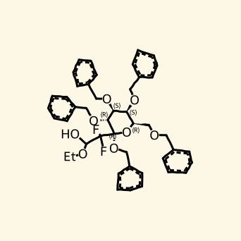 CCOC(O)C(F)(F)[C@]1(OCc2ccccc2)O[C@H](COCc2ccccc2)[C@H](OCc2ccccc2)[C@H](OCc2ccccc2)[C@H]1OCc1ccccc1